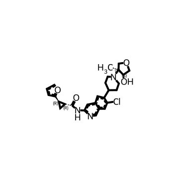 C[C@]1(N2CCC(c3cc4cc(NC(=O)[C@@H]5C[C@H]5c5ccco5)ncc4cc3Cl)CC2)COC[C@H]1O